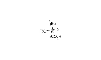 CCCC[C@](C)(C(=O)O)C(F)(F)F